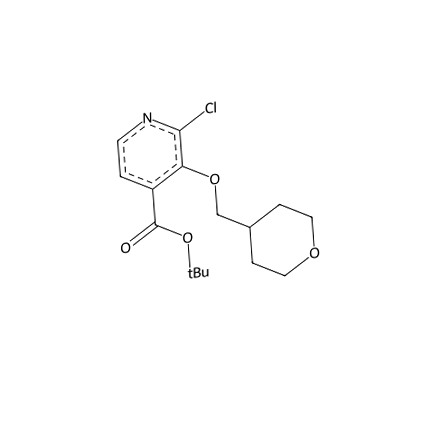 CC(C)(C)OC(=O)c1ccnc(Cl)c1OCC1CCOCC1